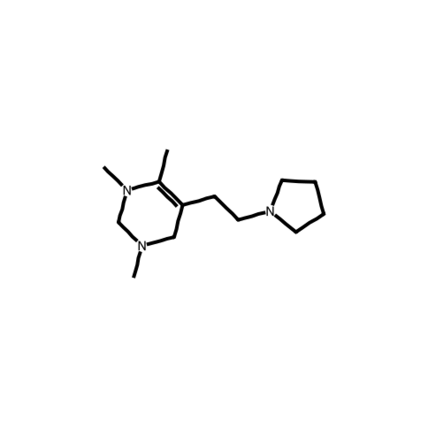 CC1=C(CCN2CCCC2)CN(C)CN1C